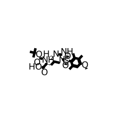 COc1cc(C)c(S(=O)(=O)N(CCC[C@@H](NC(=O)OC(C)(C)C)C(=O)O)C(=N)N)c(C)c1C